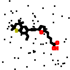 CCc1cc2c(cc1C#Cc1ccc(CCCCC(=O)O)o1)C(C)(C)CC(C)(C)S2